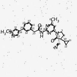 Cc1cc(N2CC[C@@](C#N)(C3CC3)C2=O)nc(NC(=O)Cc2cccc(-c3cnn(C)c3)c2)n1